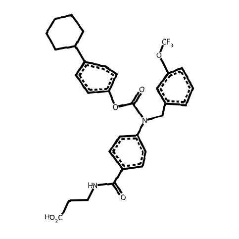 O=C(O)CCNC(=O)c1ccc(N(Cc2cccc(OC(F)(F)F)c2)C(=O)Oc2ccc(C3CCCCC3)cc2)cc1